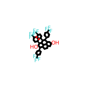 Oc1cc2ccc3c(-c4ccc(C(F)(F)F)cc4)c(O)c(-c4ccc(C(F)(F)F)cc4)c4c(-c5ccc(C(F)(F)F)cc5)c(-c5ccc(C(F)(F)F)cc5)c(c1)c2c34